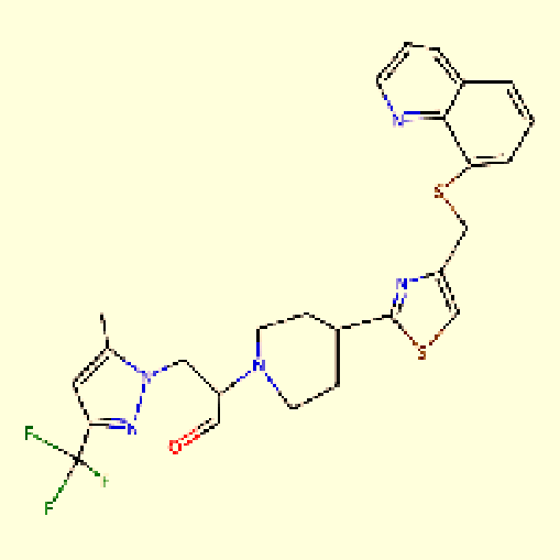 Cc1cc(C(F)(F)F)nn1CC(C=O)N1CCC(c2nc(CSc3cccc4cccnc34)cs2)CC1